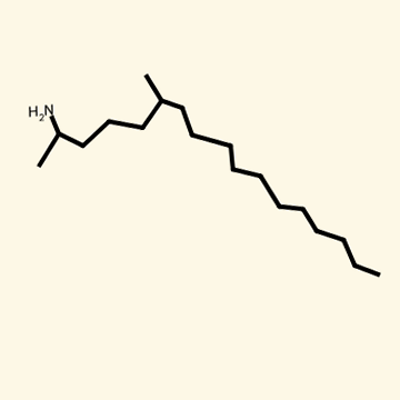 CCCCCCCCCCCC(C)CCCC(C)N